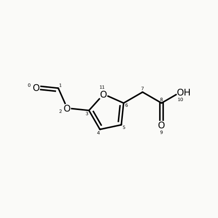 O=COc1ccc(CC(=O)O)o1